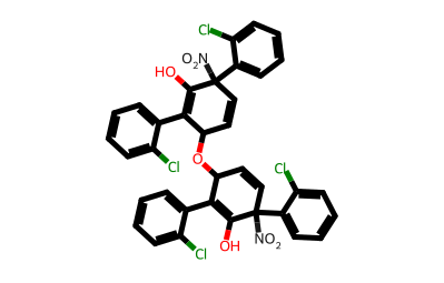 O=[N+]([O-])C1(c2ccccc2Cl)C=CC(OC2C=CC(c3ccccc3Cl)([N+](=O)[O-])C(O)=C2c2ccccc2Cl)C(c2ccccc2Cl)=C1O